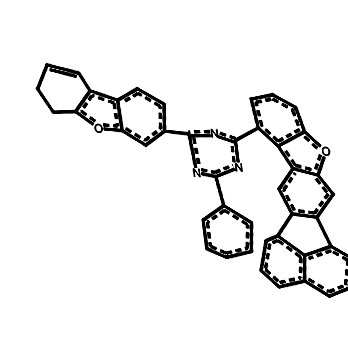 C1=Cc2c(oc3cc(-c4nc(-c5ccccc5)nc(-c5cccc6oc7cc8c(cc7c56)-c5cccc6cccc-8c56)n4)ccc23)CC1